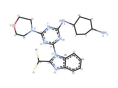 NC1CCC(Nc2nc(N3CCOCC3)nc(-n3c(C(F)F)nc4ccccc43)n2)CC1